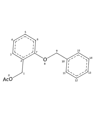 CC(=O)OCc1ccccc1OCc1ccccc1